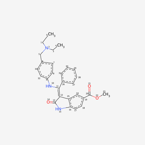 CCN(CC)Cc1ccc(N/C(=C2\C(=O)Nc3ccc(C(=O)OC)cc32)c2ccccc2)cc1